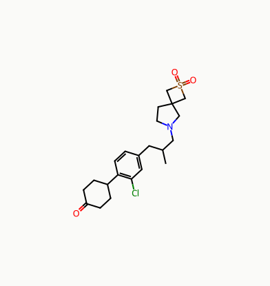 CC(Cc1ccc(C2CCC(=O)CC2)c(Cl)c1)CN1CCC2(C1)CS(=O)(=O)C2